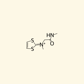 CNC(=O)C[N+](C)=c1sccs1